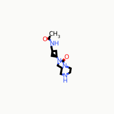 CC(=O)NCC12CC(N3CC4CNCCN4C3=O)(C1)C2